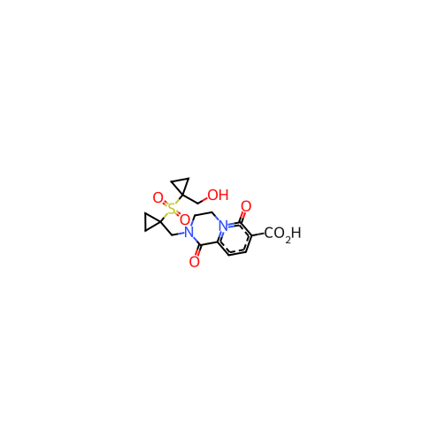 O=C(O)c1ccc2n(c1=O)CCN(CC1(S(=O)(=O)C3(CO)CC3)CC1)C2=O